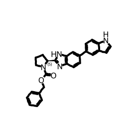 O=C(OCc1ccccc1)N1CCC[C@H]1c1nc2ccc(-c3ccc4[nH]ccc4c3)cc2[nH]1